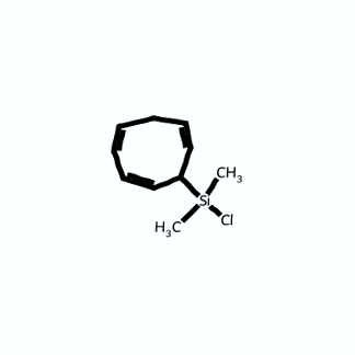 C[Si](C)(Cl)C1/C=C\C=C/C/C=C\1